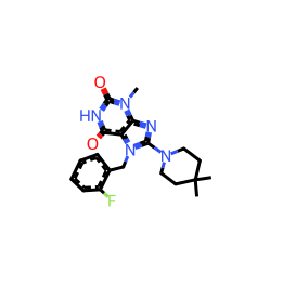 Cn1c(=O)[nH]c(=O)c2c1nc(N1CCC(C)(C)CC1)n2Cc1ccccc1F